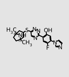 C[C@]12CC[C@](C)(CC(Sc3cnc(-c4cc(F)c(-n5ccnc5)cc4O)nn3)C1)N2